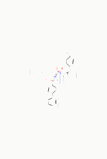 CC(C)(Cc1ccc(Cl)cc1)NC(=O)[C@H](CCC(=O)O)NC(=O)c1ccc(-c2cccc(F)c2F)cc1